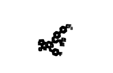 CCN(CC)CCN(Cc1ccc(-c2ccc(C(F)(F)F)cc2)cc1)C(=O)Cn1c(CCc2ccc(F)cc2)nc(=O)c2sccc21